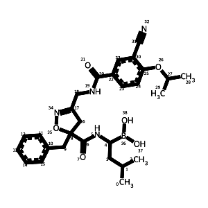 CC(C)CC(NC(=O)C1(Cc2ccccc2)CC(CNC(=O)c2ccc(OC(C)C)c(C#N)c2)=NO1)B(O)O